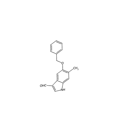 Cc1cc2[nH]cc(C=O)c2cc1OCc1ccccc1